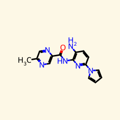 Cc1cnc(C(=O)Nc2nc(-n3cccc3)ccc2N)cn1